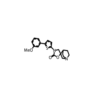 COc1cccc(-c2ccc(N3CC4(CN5CCC4CC5)OC3=O)s2)c1